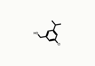 C[C](C)c1cc(Cl)cc(CO)c1